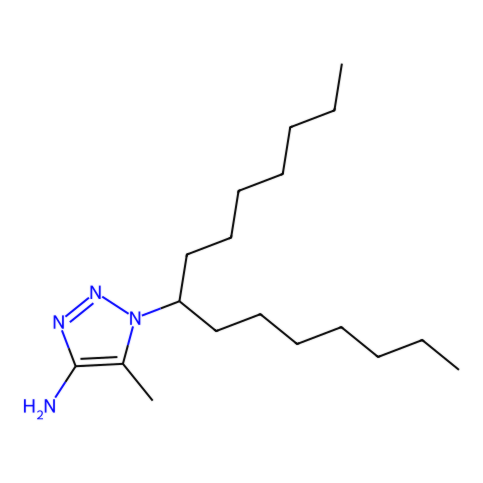 CCCCCCCC(CCCCCCC)n1nnc(N)c1C